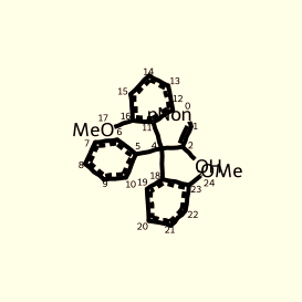 CCCCCCCCC/C=C(/O)C(c1ccccc1)(c1ccccc1OC)c1ccccc1OC